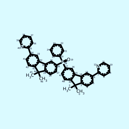 CC1(C)c2ccc(-c3ccccn3)cc2-c2cc(P(=O)(c3ccccc3)c3ccc4c(c3)-c3cc(-c5ccccn5)ccc3C4(C)C)ccc21